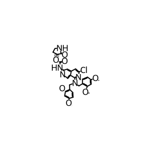 COc1ccc(CN(Cc2ccc(OC)cc2OC)c2nc(Cl)cc3cc(NC(=O)O[C@@H]4CCNC4=O)ncc23)c(OC)c1